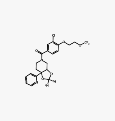 [2H]C1([2H])OC2CN(C(=O)c3ccc(OCCOC(F)(F)F)c(Cl)c3)CCC2(c2ccccn2)O1